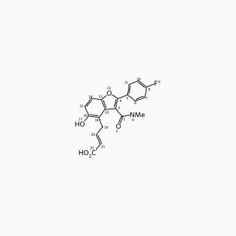 CNC(=O)c1c(-c2ccc(F)cc2)oc2ccc(O)c(CC=CC(=O)O)c12